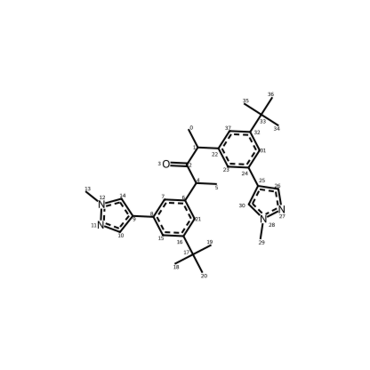 CC(C(=O)C(C)c1cc(-c2cnn(C)c2)cc(C(C)(C)C)c1)c1cc(-c2cnn(C)c2)cc(C(C)(C)C)c1